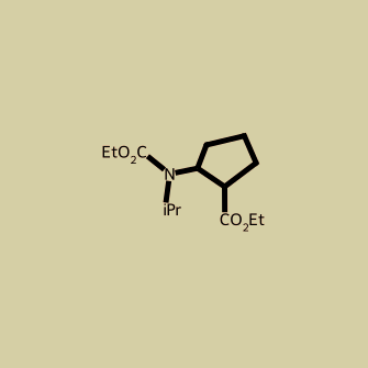 CCOC(=O)C1CCCC1N(C(=O)OCC)C(C)C